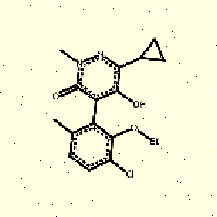 CCOc1c(Cl)ccc(C)c1-c1c(O)c(C2CC2)nn(C)c1=O